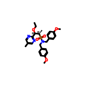 CCO[C@H](c1ncc(C)cn1)[C@H](C)S(=O)(=O)N(Cc1ccc(OC)cc1)Cc1ccc(OC)cc1